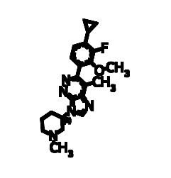 COc1c(-c2nnc3c(ncn3[C@@H]3CCCN(C)C3)c2C)ccc(C2CC2)c1F